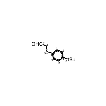 CC(C)(C)c1ccc(SC[C]=O)cc1